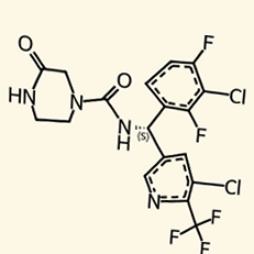 O=C1CN(C(=O)N[C@@H](c2cnc(C(F)(F)F)c(Cl)c2)c2ccc(F)c(Cl)c2F)CCN1